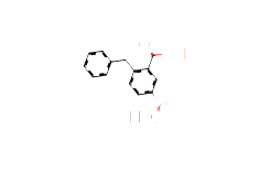 COc1ccc(Cc2ccccc2)c(C(=O)O)c1